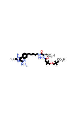 CCCCc1nc2c(N)nc3cc(CCCCCNC(=O)[C@H](CS(=O)(=O)O)NC(=O)CC(C)(C)COCC(C)(C)CC(=O)O)ccc3c2[nH]1